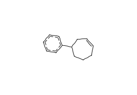 C1=CCC(c2ccccc2)CCC1